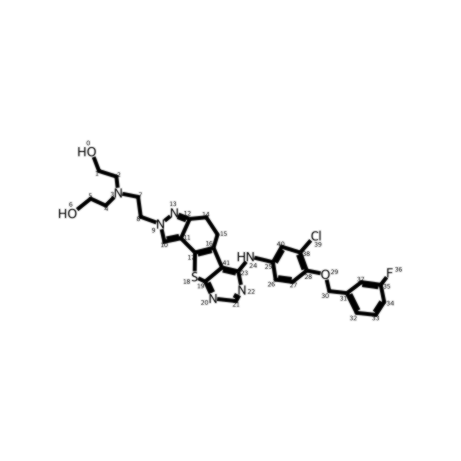 OCCN(CCO)CCn1cc2c(n1)CCc1c-2sc2ncnc(Nc3ccc(OCc4cccc(F)c4)c(Cl)c3)c12